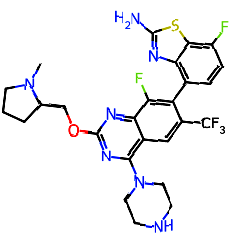 CN1CCCC1COc1nc(N2CCNCC2)c2cc(C(F)(F)F)c(-c3ccc(F)c4sc(N)nc34)c(F)c2n1